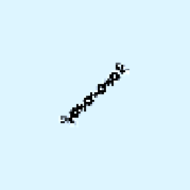 CCN(CC)c1ccc(N=Nc2ccc(C=Nc3ccc(N=Nc4ccc(N(CC)CC)cc4)cc3)cc2)cc1